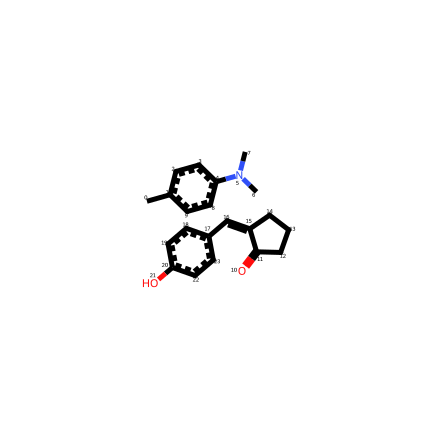 Cc1ccc(N(C)C)cc1.O=C1CCCC1=Cc1ccc(O)cc1